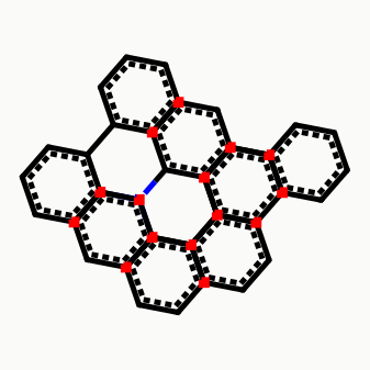 c1ccc(-c2ccccc2-c2c(-c3ccccc3)cccc2N(c2ccccc2-c2ccccc2)c2ccccc2-c2ccccc2)cc1